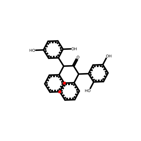 O=C(C(c1ccccc1)c1cc(O)ccc1O)C(c1ccccc1)c1cc(O)ccc1O